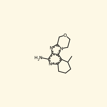 CC1CCCc2nc(N)c3nc4n(c3c21)CCOC4